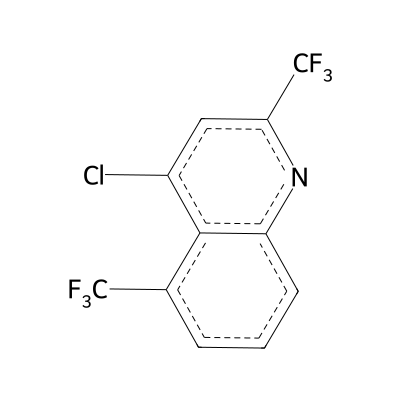 FC(F)(F)c1cc(Cl)c2c(C(F)(F)F)cccc2n1